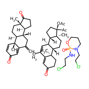 C=C1C[C@@H]2[C@H](CC[C@]3(C)C(=O)CC[C@@H]23)[C@@]2(C)C=CC(=O)C=C12.CC(=O)O[C@]1(C(C)=O)CC[C@H]2[C@@H]3C=C(C)C4=CC(=O)CC[C@]4(C)[C@H]3CC[C@@]21C.O=P1(NCCCl)OCCCN1CCCl